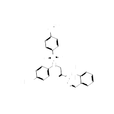 CCOc1ccc(S(=O)(=O)N(CC(=O)N/N=C\c2ccccc2O)c2ccc(C)cc2)cc1